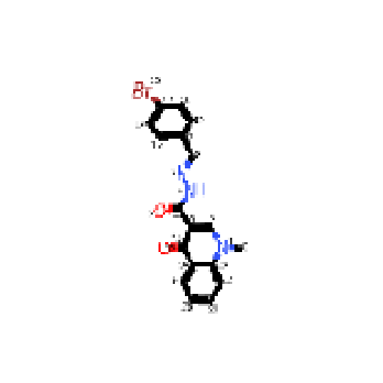 Cn1cc(C(=O)NN=Cc2ccc(Br)cc2)c(=O)c2ccccc21